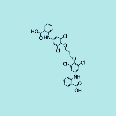 O=C(O)c1ccccc1Nc1cc(Cl)c(OCCCOc2c(Cl)cc(Nc3ccccc3C(=O)O)cc2Cl)c(Cl)c1